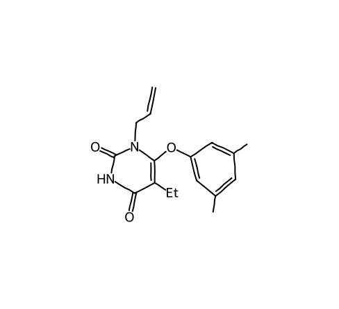 C=CCn1c(Oc2cc(C)cc(C)c2)c(CC)c(=O)[nH]c1=O